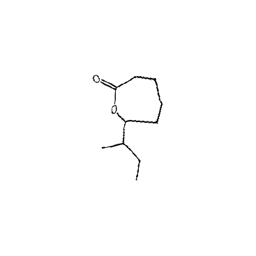 CCC(C)C1CCCCC(=O)O1